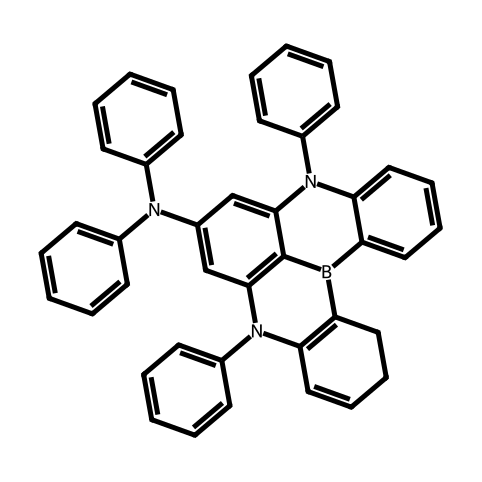 C1=CC2=C(CC1)B1c3ccccc3N(c3ccccc3)c3cc(N(c4ccccc4)c4ccccc4)cc(c31)N2c1ccccc1